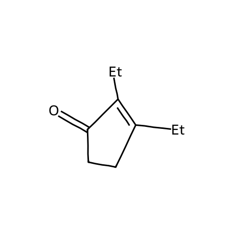 CCC1=C(CC)C(=O)CC1